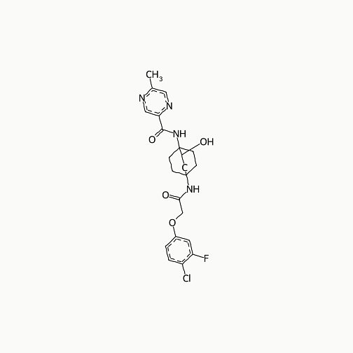 Cc1cnc(C(=O)NC23CCC(NC(=O)COc4ccc(Cl)c(F)c4)(CC2)CC3O)cn1